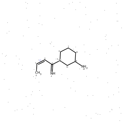 C/C=C\C(=N)N1CCCC(N)C1